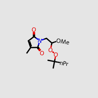 CCCC(C)(C)OOC(CN1C(=O)C=C(C)C1=O)OC